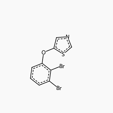 Brc1cccc(Oc2cncs2)c1Br